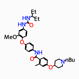 CCCCN1CCC(Oc2ccc(C(=O)Nc3ccc(Oc4ccc(NC(=O)NC(CC)CC)cc4OC)cc3)c(C)c2)CC1